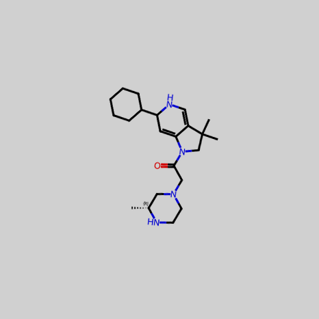 C[C@@H]1CN(CC(=O)N2CC(C)(C)C3=CNC(C4CCCCC4)C=C32)CCN1